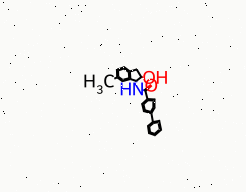 Cc1ccc2c(c1)C(NC(=O)c1ccc(-c3ccccc3)cc1)[C@H](O)C2